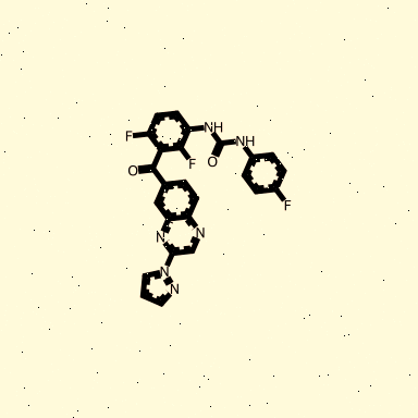 O=C(Nc1ccc(F)cc1)Nc1ccc(F)c(C(=O)c2ccc3ncc(-n4cccn4)nc3c2)c1F